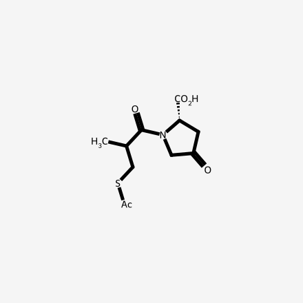 CC(=O)SCC(C)C(=O)N1CC(=O)C[C@H]1C(=O)O